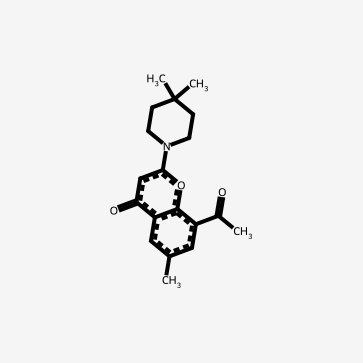 CC(=O)c1cc(C)cc2c(=O)cc(N3CCC(C)(C)CC3)oc12